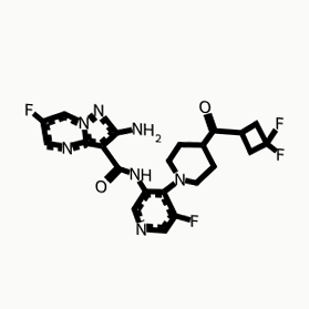 Nc1nn2cc(F)cnc2c1C(=O)Nc1cncc(F)c1N1CCC(C(=O)C2CC(F)(F)C2)CC1